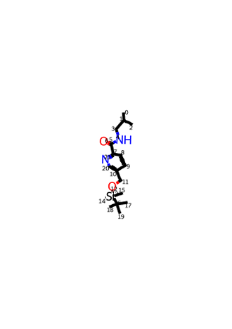 CC(C)CNC(=O)c1ccc(CO[Si](C)(C)C(C)(C)C)cn1